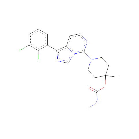 CC(C)(C)NC(=O)OC1(C)CCN(c2nccc3c(-c4cccc(Cl)c4Cl)ncn23)CC1